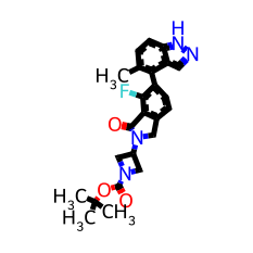 Cc1ccc2[nH]ncc2c1-c1ccc2c(c1F)C(=O)N(C1CN(C(=O)OC(C)(C)C)C1)C2